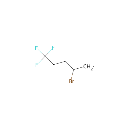 [CH2]C(Br)CCC(F)(F)F